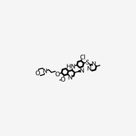 COc1c(OCCCN2CCOCC2)ccc2c(Nc3ccc(Sc4nccc(C)n4)c(Cl)c3)c(C#N)cnc12